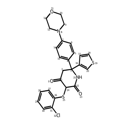 O=C1CC(c2ccc(N3CCOCC3)cc2)(c2ccsc2)NC(=O)C1Sc1ccccc1Cl